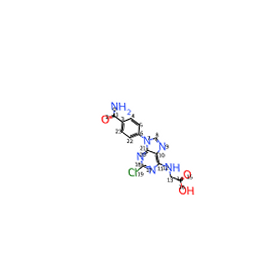 NC(=O)c1ccc(-n2cnc3c(NCC(=O)O)nc(Cl)nc32)cc1